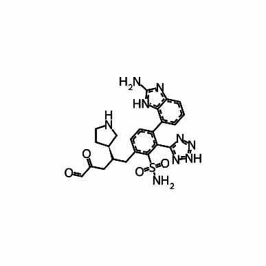 Nc1nc2cccc(-c3ccc(CC(CC(=O)C=O)[C@H]4CCNC4)c(S(N)(=O)=O)c3-c3nn[nH]n3)c2[nH]1